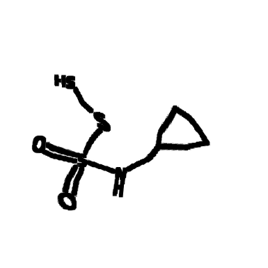 O=S(=O)(NC1CC1)SS